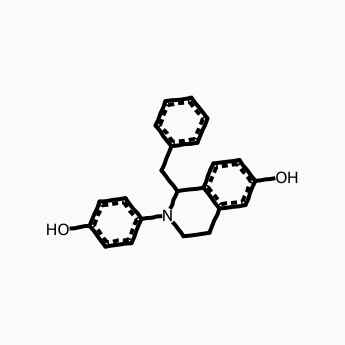 Oc1ccc(N2CCc3cc(O)ccc3C2Cc2ccccc2)cc1